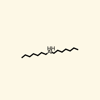 CCCCCC[CH2][Al][CH2]CCCCCC.[HH]